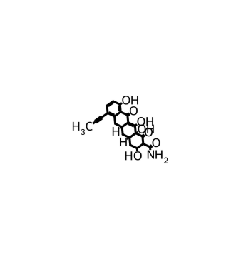 CC#Cc1ccc(O)c2c1C[C@H]1C[C@H]3CC(O)C(C(N)=O)C(=O)[C@@]3(O)C(O)=C1C2=O